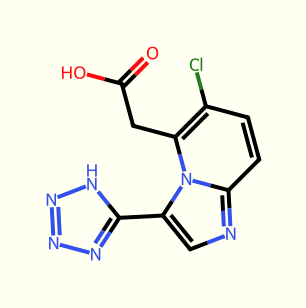 O=C(O)Cc1c(Cl)ccc2ncc(-c3nnn[nH]3)n12